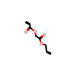 C=CCOC(=O)COC(=O)C=C